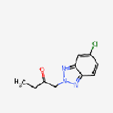 CCC(=O)Cn1nc2ccc(Cl)cc2n1